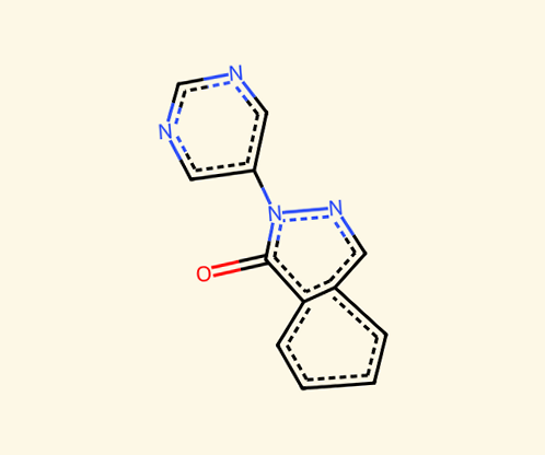 O=c1c2ccccc2cnn1-c1cncnc1